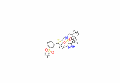 Cc1n[nH]c(C)c1S(=O)(=O)N(Cc1ccc(-c2cccc(S(C)(=O)=O)c2)s1)CC(C)C